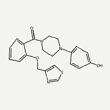 O=C(c1ccccc1OCc1cscn1)N1CCN(c2ccc(O)cc2)CC1